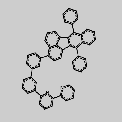 c1ccc(-c2c3c(c(-c4ccccc4)c4ccccc24)-c2ccc(-c4cccc(-c5cccc(-c6cccc(-c7ccccn7)n6)c5)c4)c4cccc-3c24)cc1